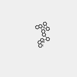 c1ccc(-c2ccc3ccc4cccnc4c3n2)c(-c2ccc3cc4c(cc3c2)C2(c3ccccc3-c3ccccc32)c2ccc3ccccc3c2-4)c1